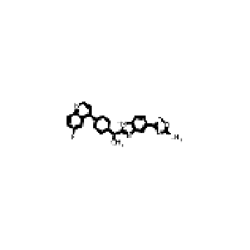 Cc1noc(-c2ccc3[nH]c(C(C)C4CCC(c5ccnc6ccc(F)cc56)CC4)nc3c2)n1